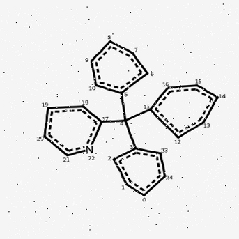 c1ccc(C(c2ccccc2)(c2ccccc2)c2ccccn2)cc1